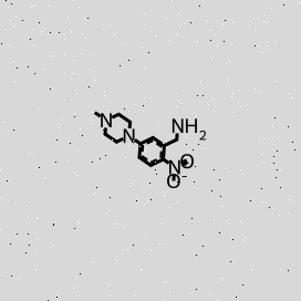 CN1CCN(c2ccc([N+](=O)[O-])c(CN)c2)CC1